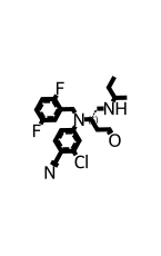 CCC(C)NC[C@H](CC=O)N(Cc1cc(F)ccc1F)c1ccc(C#N)c(Cl)c1